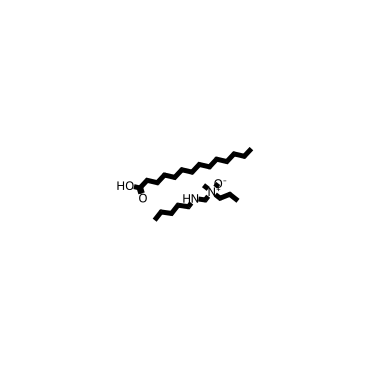 CCCCCCCCCCCCCC(=O)O.CCCCCNC[N+](C)([O-])CCC